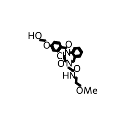 COCCCNC(=O)CN1Cc2ccccc2N(C(=O)c2ccc(OCCO)cc2Cl)CC1=O